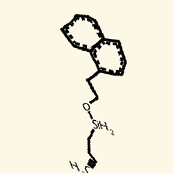 C=CC[SiH2]OCCc1cccc2ccccc12